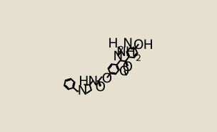 COc1cc(OCC(=O)NC2CCN(Cc3ccccc3)C2)ccc1C(=NN)C(=O)c1ccc(O)c(N)c1